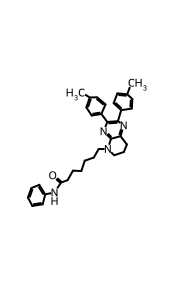 Cc1ccc(-c2nc3c(nc2-c2ccc(C)cc2)N(CCCCCCC(=O)Nc2ccccc2)CCC3)cc1